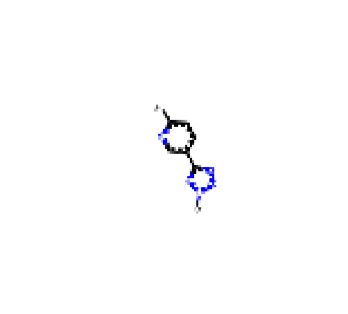 CCn1nnc(-c2ccc(C(C)(C)C)nc2)n1